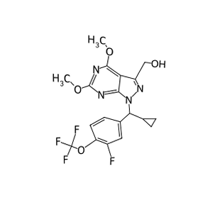 COc1nc(OC)c2c(CO)nn(C(c3ccc(OC(F)(F)F)c(F)c3)C3CC3)c2n1